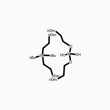 CCCCCCCCCCCCO[Si](O)(O)OCCCCCCCCCCCC.CCCCCCCCCCC[CH2][Sn]([CH2]CCC)([CH2]CCC)[CH2]CCCCCCCCCCC